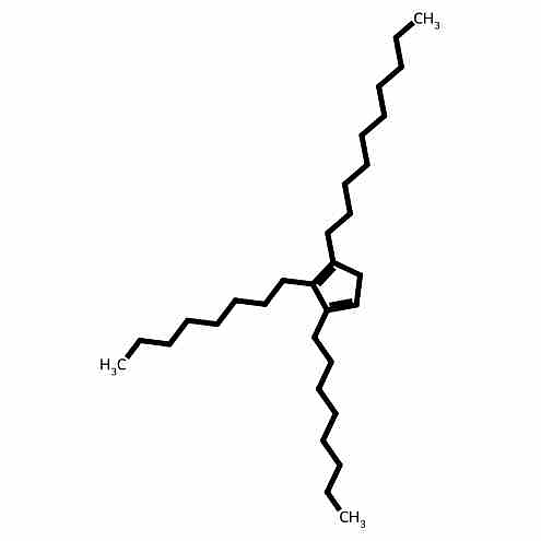 CCCCCCCCCCC1=C(CCCCCCCC)C(CCCCCCCC)=CC1